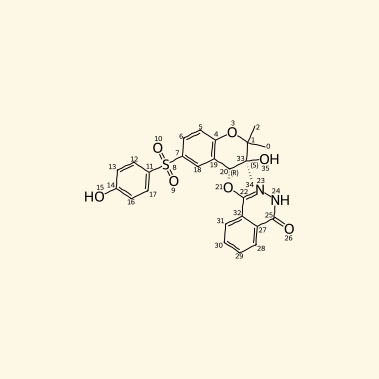 CC1(C)Oc2ccc(S(=O)(=O)c3ccc(O)cc3)cc2[C@@H](Oc2n[nH]c(=O)c3ccccc23)[C@]1(C)O